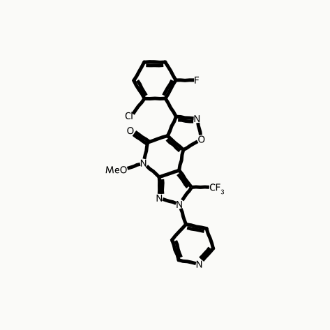 COn1c(=O)c2c(-c3c(F)cccc3Cl)noc2c2c(C(F)(F)F)n(-c3ccncc3)nc21